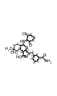 CC1(C)CCc2c(Nc3c(Cl)cncc3Cl)nc3c(c(O)nn3Cc3cccc(C(N)=O)c3)c2C1